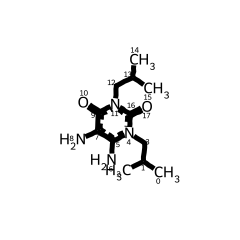 CC(C)Cn1c(N)c(N)c(=O)n(CC(C)C)c1=O